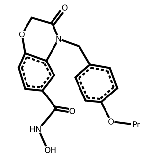 CC(C)Oc1ccc(CN2C(=O)COc3ccc(C(=O)NO)cc32)cc1